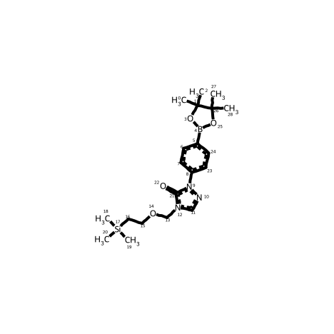 CC1(C)OB(c2ccc(-n3ncn(COCC[Si](C)(C)C)c3=O)cc2)OC1(C)C